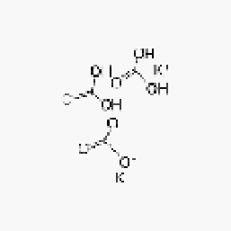 O=C(O)O.O=C(O)O.O=C([O-])[O-].[K+].[K+]